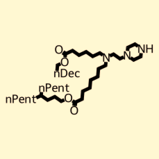 CCCCCCCCCCCOC(=O)CCCCCN(CCCCCCCC(=O)OCCCC(CCCCC)CCCCC)CCN1CCNCC1